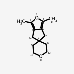 Cc1oc(C)c2c1CC1(CCOCC1)C2